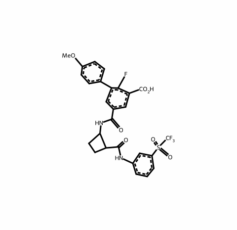 COc1ccc(-c2cc(C(=O)NC3CCC3C(=O)Nc3cccc(S(=O)(=O)C(F)(F)F)c3)cc(C(=O)O)c2F)cc1